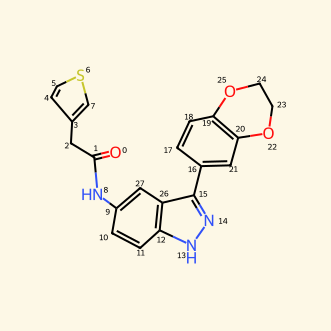 O=C(Cc1ccsc1)Nc1ccc2[nH]nc(-c3ccc4c(c3)OCCO4)c2c1